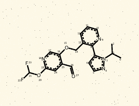 CC(C)n1nccc1-c1ncccc1COc1cnc(OC(F)F)cc1C=O